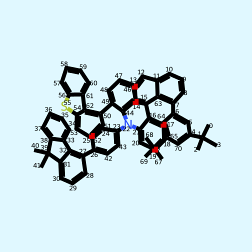 CC(C)(C)c1cc(-c2cccc3cccc(-c4ccccc4N(c4ccc(-c5cccc6c5-c5ccccc5C6(C)C)cc4)c4ccccc4-c4cccc5sc6ccccc6c45)c23)cc(C(C)(C)C)c1